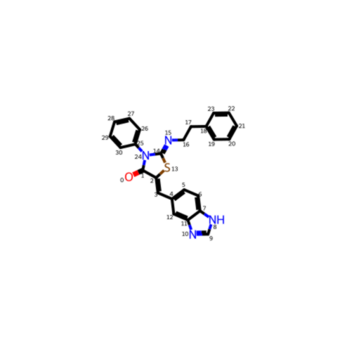 O=C1C(=Cc2ccc3[nH]cnc3c2)SC(=NCCc2ccccc2)N1c1ccccc1